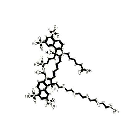 CC[N+]1=C(/C=C/C=C/C=C2/N(CCCCCC(=O)O)c3ccc4c(S(=O)(=O)[O-])cc(S(=O)(=O)O)cc4c3C2(C)CCCS(=O)(=O)O)C(C)(CCOCCOCCOCCOCCOC)c2c1ccc1c(S(=O)(=O)O)cc(S(=O)(=O)O)cc21